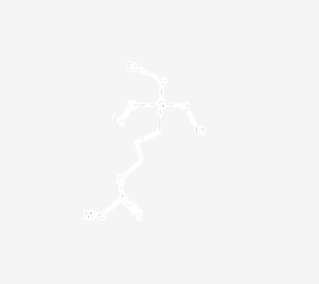 CCO[Si](CCCSC(=S)OC)(OCC)OCC